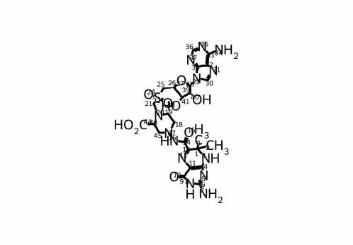 CC1(C)Nc2nc(N)[nH]c(=O)c2N=C1C(=O)NN1CCN(CS(=O)(=O)C[C@H]2O[C@@H](n3cnc4c(N)ncnc43)[C@@H](O)C2O)C(C(=O)O)C1